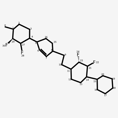 CC1CCC(C2C=CC(CCC3CCC(C4CCCCC4)C(F)[C@H]3F)CC2)C(F)[C@H]1F